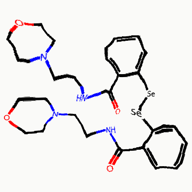 O=C(NCCN1CCOCC1)c1ccccc1[Se][Se]c1ccccc1C(=O)NCCN1CCOCC1